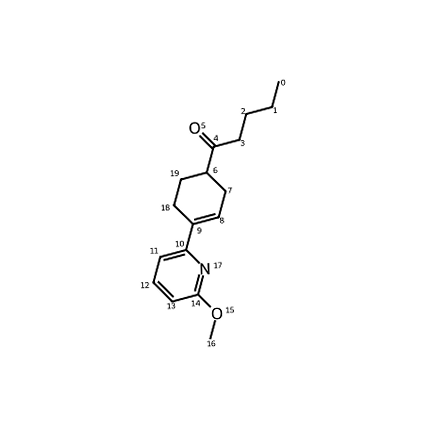 CCCCC(=O)C1CC=C(c2cccc(OC)n2)CC1